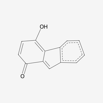 O=C1C=CC(O)=C2C1=Cc1ccccc12